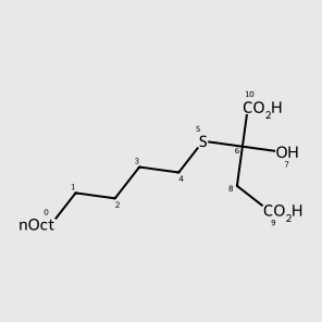 CCCCCCCCCCCCSC(O)(CC(=O)O)C(=O)O